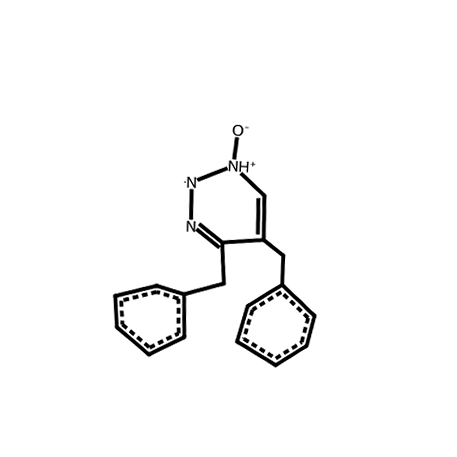 [O-][NH+]1C=C(Cc2ccccc2)C(Cc2ccccc2)=N[N]1